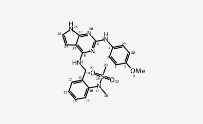 COc1ccc(Nc2nc(NCc3ccccc3N(C)S(C)(=O)=O)c3cc[nH]c3n2)cc1